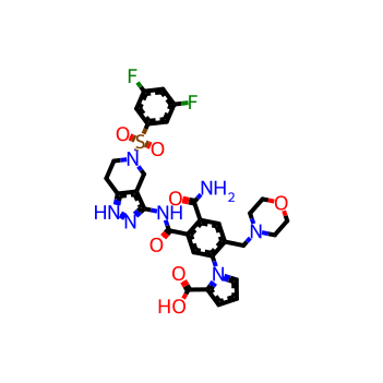 NC(=O)c1cc(CN2CCOCC2)c(-n2cccc2C(=O)O)cc1C(=O)Nc1n[nH]c2c1CN(S(=O)(=O)c1cc(F)cc(F)c1)CC2